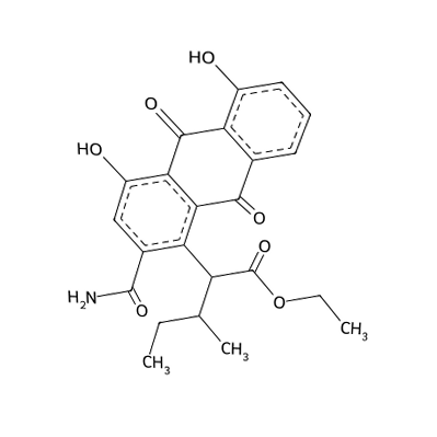 CCOC(=O)C(c1c(C(N)=O)cc(O)c2c1C(=O)c1cccc(O)c1C2=O)C(C)CC